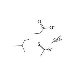 CC(=S)[S-].CC(C)CCCCC(=O)[O-].[CH3][Sn+2][CH3]